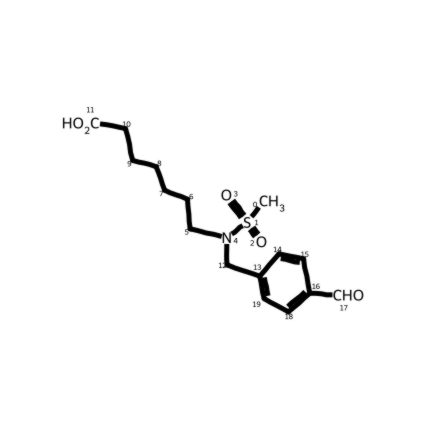 CS(=O)(=O)N(CCCCCCC(=O)O)Cc1ccc(C=O)cc1